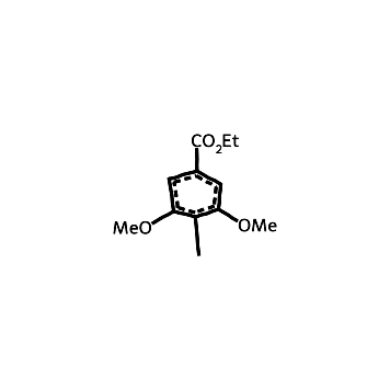 [CH2]COC(=O)c1cc(OC)c(C)c(OC)c1